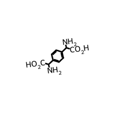 NC(C(=O)O)c1ccc(C(N)C(=O)O)cc1